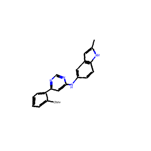 COc1ccccc1-c1cc(Nc2ccc3[nH]c(C)cc3c2)ncn1